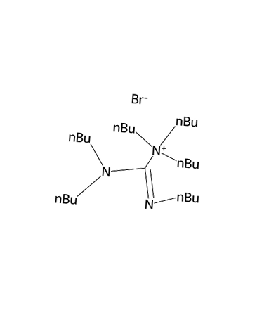 CCCCN=C(N(CCCC)CCCC)[N+](CCCC)(CCCC)CCCC.[Br-]